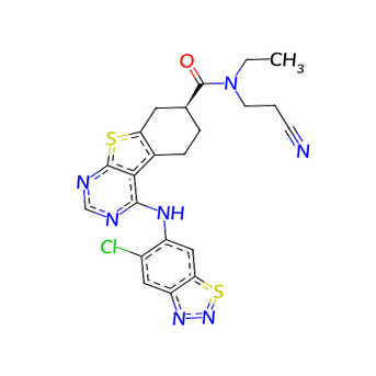 CCN(CCC#N)C(=O)[C@H]1CCc2c(sc3ncnc(Nc4cc5snnc5cc4Cl)c23)C1